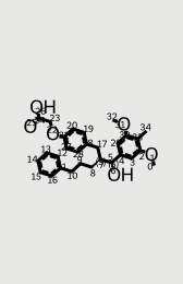 COc1cc([C@@H](O)[C@@H](CCCc2ccccc2)Cc2ccc(OCC(=O)O)cc2)cc(OC)c1C